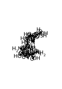 CC(C)C[C@H](NC(=O)[C@H](CS)NC(=O)[C@H](CCC(=O)O)NC(=O)[C@@H](N)CC(N)=O)C(=O)N[C@@H](CC(=O)O)C(=O)N[C@@H](CC(N)=O)C(=O)N[C@@H](CC(N)=O)C(=O)NCC(=O)NCC(=O)N[C@@H](CS)C(=O)N[C@@H](CO)C(=O)N[C@@H](Cc1c[nH]cn1)C(=O)N[C@H](C(=O)N[C@@H](CS)C(=O)O)C(C)C